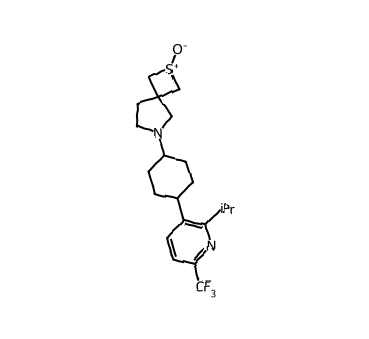 CC(C)c1nc(C(F)(F)F)ccc1C1CCC(N2CCC3(C2)C[S+]([O-])C3)CC1